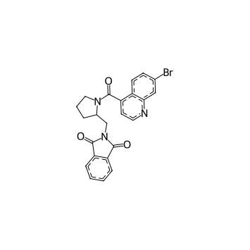 O=C1c2ccccc2C(=O)N1CC1CCCN1C(=O)c1ccnc2cc(Br)ccc12